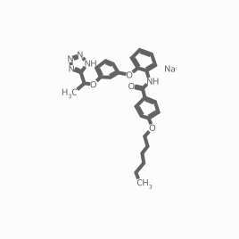 CCCCCCOc1ccc(C(=O)Nc2ccccc2Oc2cccc(OC(C)c3nnn[nH]3)c2)cc1.[Na]